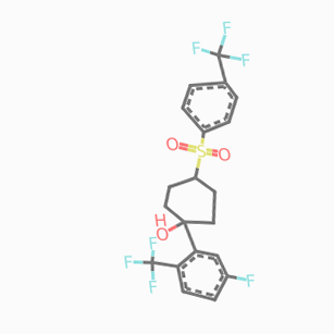 O=S(=O)(c1ccc(C(F)(F)F)cc1)C1CCC(O)(c2cc(F)ccc2C(F)(F)F)CC1